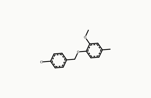 COc1cc(C)ccc1OCc1ccc(Cl)cc1